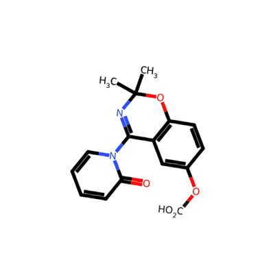 CC1(C)N=C(n2ccccc2=O)c2cc(OC(=O)O)ccc2O1